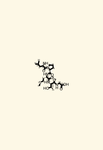 CSCC[C@H](NC(=O)[C@@H]1CCCN1C(=O)[C@@H](N)CC(C)C)C(=O)N[C@H](C(=O)NCC(=O)O)[C@@H](C)O